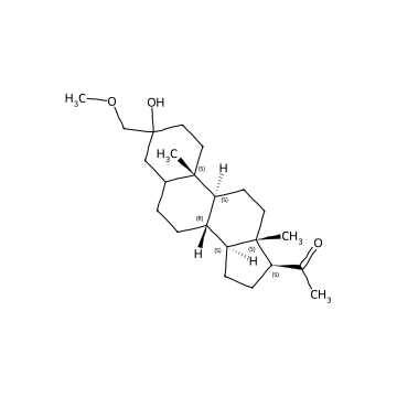 COCC1(O)CC[C@@]2(C)C(CC[C@H]3[C@@H]4CC[C@H](C(C)=O)[C@@]4(C)CC[C@@H]32)C1